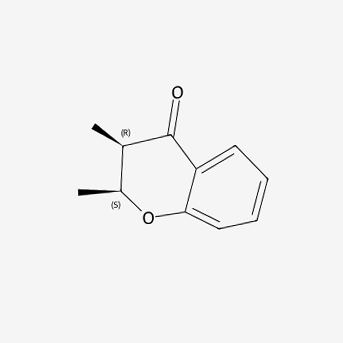 C[C@@H]1Oc2ccccc2C(=O)[C@@H]1C